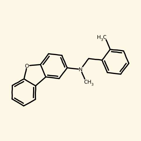 Cc1ccccc1CN(C)c1ccc2oc3ccccc3c2c1